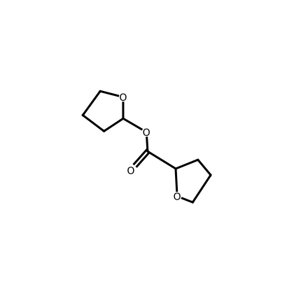 O=C(OC1CCCO1)C1CCCO1